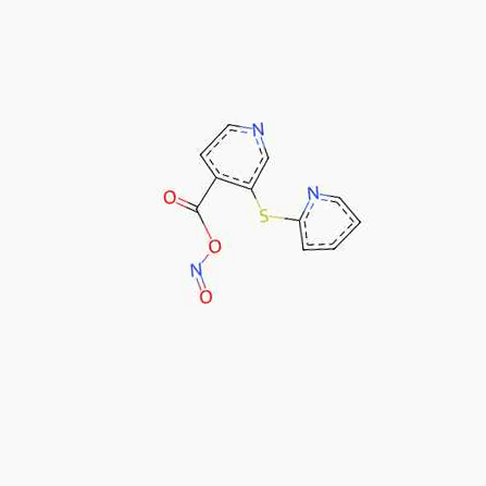 O=NOC(=O)c1ccncc1Sc1ccccn1